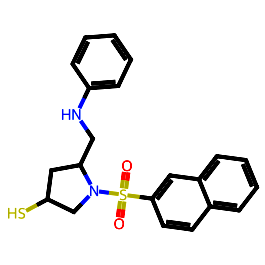 O=S(=O)(c1ccc2ccccc2c1)N1CC(S)CC1CNc1ccccc1